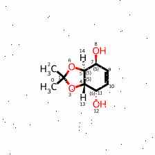 CC1(C)O[C@@H]2[C@@H](O1)[C@@H](O)C=C[C@@H]2O